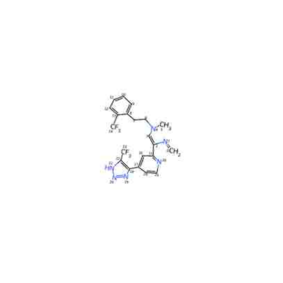 C=N/C(=C\N(C)CCc1ccccc1C(F)(F)F)c1cc(-c2nn[nH]c2C(F)(F)F)ccn1